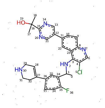 CC(Nc1c(Cl)cnc2ccc(-c3cnc(C(C)(C)O)nc3)cc12)c1cc(C2=CCNCC2)ccc1F